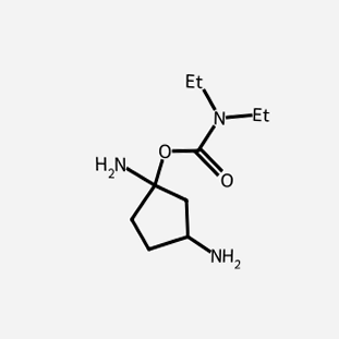 CCN(CC)C(=O)OC1(N)CCC(N)C1